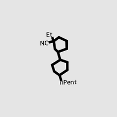 CCCCCC1CCC(C2CCCC(C#N)(CC)C2)CC1